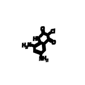 Nc1cc(N)c2c(c1)C(=O)C(Cl)C(=O)N2